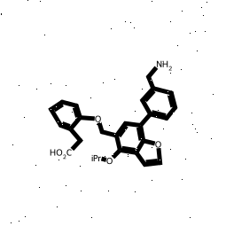 CC(C)Oc1c(COc2ccccc2CC(=O)O)cc(-c2cccc(CN)c2)c2occc12